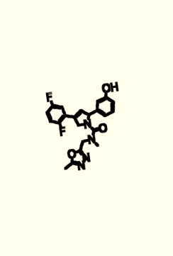 Cc1nnc(CN(C)C(=O)N2CC(c3cc(F)ccc3F)=CC2c2cccc(O)c2)o1